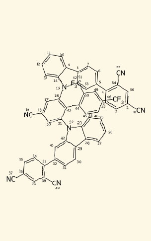 N#Cc1ccc(-c2ccc3c4ccccc4n(-c4cc(C#N)cc(-n5c6ccccc6c6ccc(-c7ccc(C#N)cc7C#N)cc65)c4-c4ccc(C(F)(F)F)cc4C(F)(F)F)c3c2)c(C#N)c1